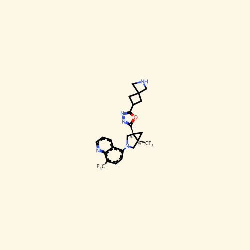 FC(F)(F)c1ccc(N2C[C@]3(c4nnc(C5CC6(CNC6)C5)o4)C[C@]3(C(F)(F)F)C2)c2cccnc12